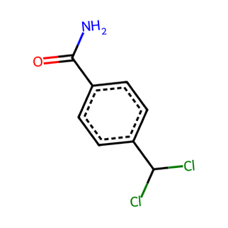 NC(=O)c1ccc(C(Cl)Cl)cc1